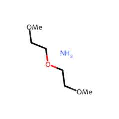 COCCOCCOC.N